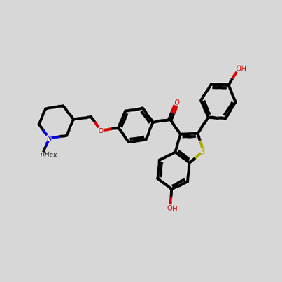 CCCCCCN1CCCC(COc2ccc(C(=O)c3c(-c4ccc(O)cc4)sc4cc(O)ccc34)cc2)C1